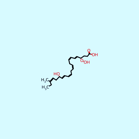 CC/C(C)=C\C[C@H](O)/C=C/C=C\C/C=C\C/C=C\C=C\C(CCC(=O)O)OO